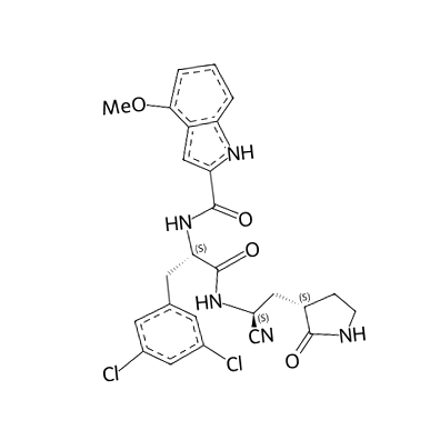 COc1cccc2[nH]c(C(=O)N[C@@H](Cc3cc(Cl)cc(Cl)c3)C(=O)N[C@H](C#N)C[C@@H]3CCNC3=O)cc12